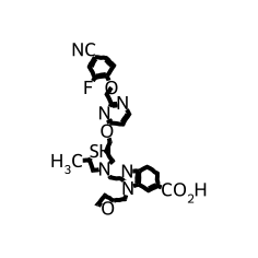 CC(S)CN(CCCOc1ccnc(COc2ccc(C#N)cc2F)n1)Cc1nc2c(n1CC1CCO1)C=C(C(=O)O)CC2